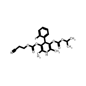 CC1=C(OC(=O)OCCC#N)C(c2ccccc2F)C(OC(=O)OC(C)C)=C(C)N1